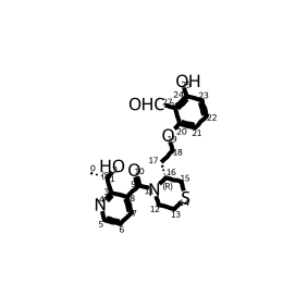 C[C@H](O)c1ncccc1C(=O)N1CCSC[C@H]1CCOc1cccc(O)c1C=O